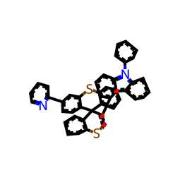 c1ccc(-n2c3ccccc3c3c(-c4cccc5c4C4(c6ccccc6Sc6cc(-c7ccccn7)ccc64)c4ccccc4S5)cccc32)cc1